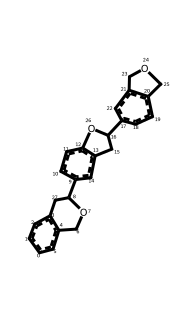 c1ccc2c(c1)COC(c1ccc3c(c1)CC(c1ccc4c(c1)COC4)O3)C2